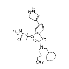 CC(C)(Oc1cc(-c2cn[nH]c2)ccc1NC(=O)N(CCCO)CC1CCCCC1)C(N)=O